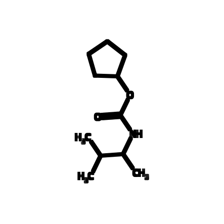 CC(C)C(C)NC(=O)OC1CCCC1